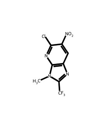 Cn1c(C(F)(F)F)nc2cc([N+](=O)[O-])c(Cl)nc21